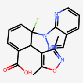 Cc1noc(C)c1C1C(C(=O)O)=CC=CC1(F)n1ncc2cccnc21